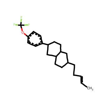 CC=CCCC1CCC2CC(c3ccc(OC(F)(F)F)cc3)CCC2C1